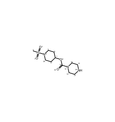 CS(=O)(=O)N1CCC(OC(=O)N2CCNCC2)CC1